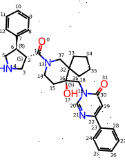 O=C([C@@H]1CNC[C@H]1c1ccccc1)N1CC[C@@](O)(Cn2cnc(-c3ccccc3)cc2=O)C2(CCCC2)C1